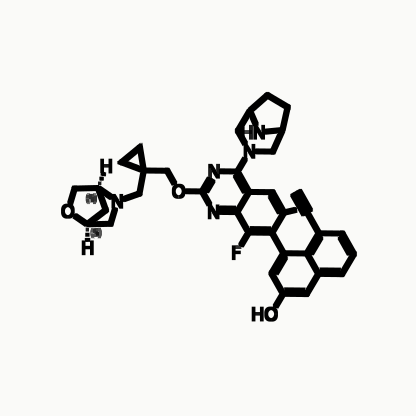 C#Cc1cccc2cc(O)cc(-c3c(C)cc4c(N5CC6CCC(C5)N6)nc(OCC5(CN6C[C@@H]7C[C@H]6CO7)CC5)nc4c3F)c12